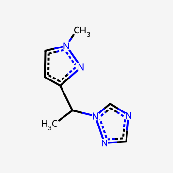 CC(c1ccn(C)n1)n1cncn1